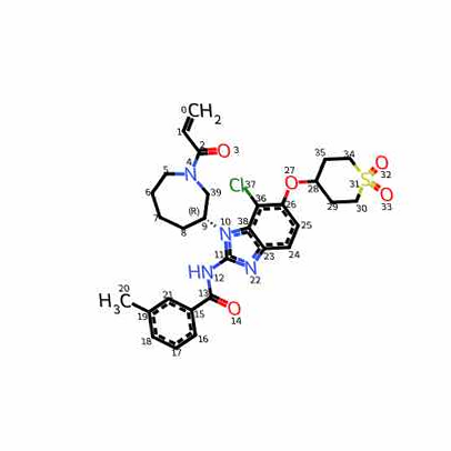 C=CC(=O)N1CCCC[C@@H](n2c(NC(=O)c3cccc(C)c3)nc3ccc(OC4CCS(=O)(=O)CC4)c(Cl)c32)C1